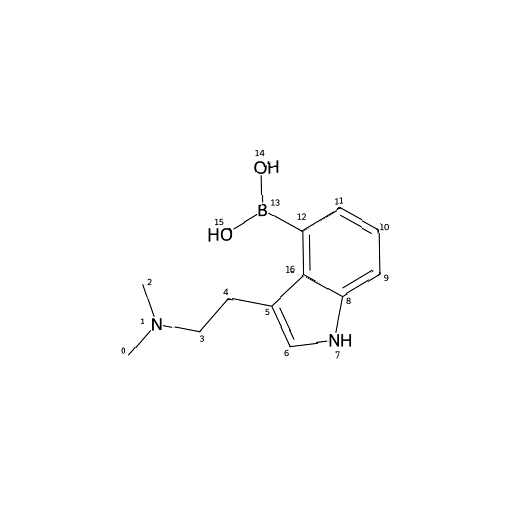 CN(C)CCc1c[nH]c2cccc(B(O)O)c12